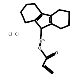 C=CC(=O)[O][Ti+2][CH]1C2=C(CCCC2)C2=C1CCCC2.[Cl-].[Cl-]